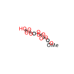 COC(=O)c1ccc(O[C@H]2COC3C2OC[C@@H]3OC(=O)c2ccc(O[C@H]3COC4C3OC[C@@H]4O)cc2)cc1